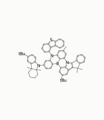 Cc1cc2c3c(c1)-n1c4c(c5cc(C(C)(C)C)cc(c51)B3c1ccc(N3c5ccc(C(C)(C)C)cc5C5(C)CCCCC35C)cc1N2c1cccc2sc3ccccc3c12)C(C)(C)c1ccccc1-4